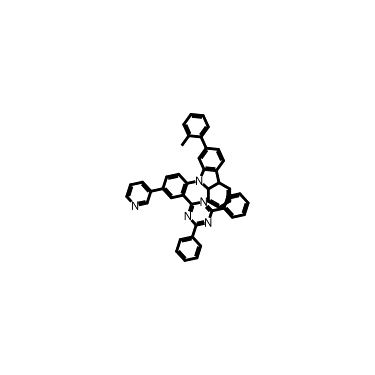 Cc1ccccc1-c1ccc2c(c1)N(c1ccc(-c3cccnc3)cc1-c1nc(-c3ccccc3)nc(-c3ccccc3)n1)C1C=CC=CC21